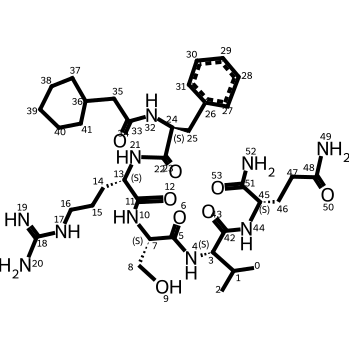 CC(C)[C@H](NC(=O)[C@H](CO)NC(=O)[C@H](CCCNC(=N)N)NC(=O)[C@H](Cc1ccccc1)NC(=O)CC1CCCCC1)C(=O)N[C@@H](CCC(N)=O)C(N)=O